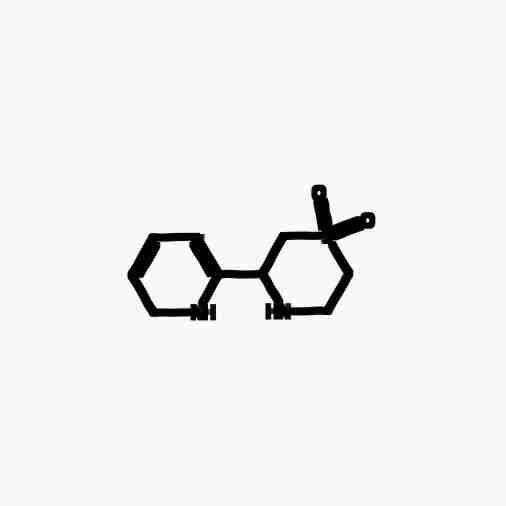 O=S1(=O)CCNC(C2=[C]C=CCN2)C1